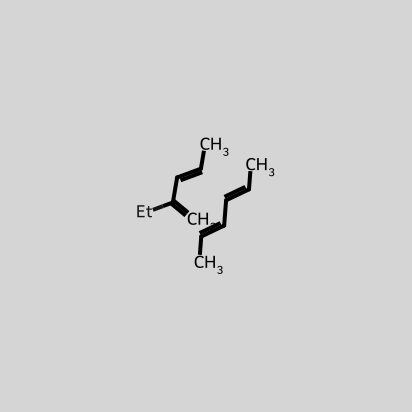 C=C(C=CC)CC.CC=CC=CC